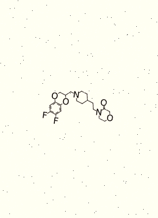 O=C1COCCN1CCC1CCN(CC2COc3cc(F)c(F)cc3O2)CC1